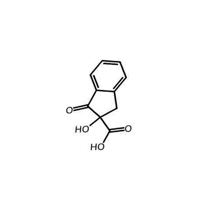 O=C(O)C1(O)Cc2ccccc2C1=O